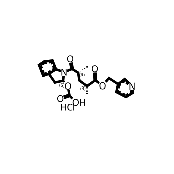 C[C@H](C[C@@H](C)C(=O)N1c2ccccc2C[C@@H]1OC(=O)O)C(=O)OCc1cccnc1.Cl